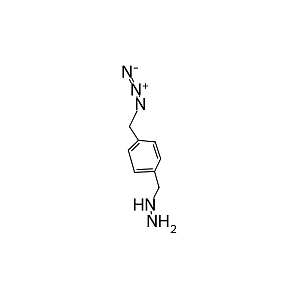 [N-]=[N+]=NCc1ccc(CNN)cc1